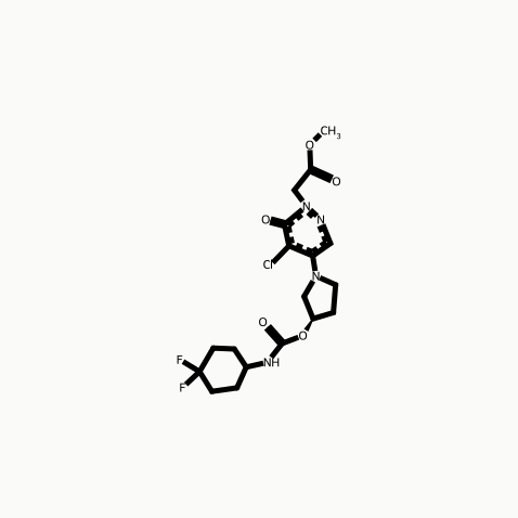 COC(=O)Cn1ncc(N2CC[C@@H](OC(=O)NC3CCC(F)(F)CC3)C2)c(Cl)c1=O